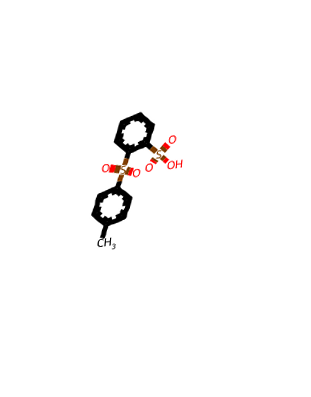 Cc1ccc(S(=O)(=O)c2ccccc2S(=O)(=O)O)cc1